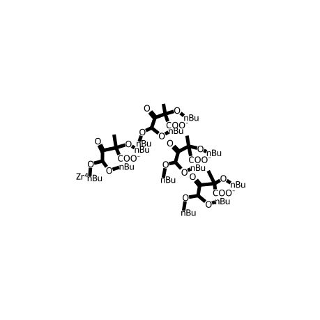 CCCCOC(OCCCC)C(=O)C(C)(OCCCC)C(=O)[O-].CCCCOC(OCCCC)C(=O)C(C)(OCCCC)C(=O)[O-].CCCCOC(OCCCC)C(=O)C(C)(OCCCC)C(=O)[O-].CCCCOC(OCCCC)C(=O)C(C)(OCCCC)C(=O)[O-].[Zr+4]